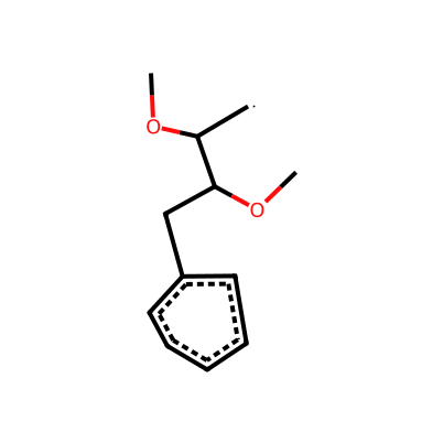 [CH2]C(OC)C(Cc1ccccc1)OC